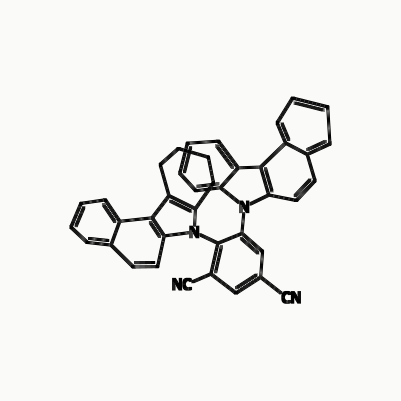 N#Cc1cc(C#N)c(-n2c3c(c4c5ccccc5ccc42)CCCC3)c(-n2c3ccccc3c3c4ccccc4ccc32)c1